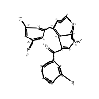 O=C(c1cccc(O)c1)c1c[nH]c2nccc(-c3cc(F)cc(F)c3)c12